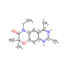 CCN1C(=O)C(C)(C)Oc2cc3nc(C)nc(C)c3cc21